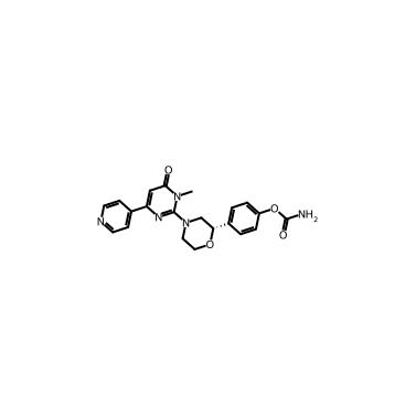 Cn1c(N2CCO[C@@H](c3ccc(OC(N)=O)cc3)C2)nc(-c2ccncc2)cc1=O